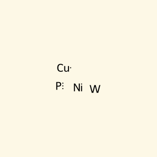 [Cu].[Ni].[P].[W]